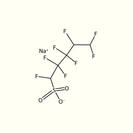 O=S(=O)([O-])C(F)C(F)(F)C(F)(F)C(F)C(F)F.[Na+]